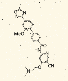 COc1cc(-c2noc(C)n2)ccc1-c1ccc(C(=O)Nc2cc(OCCN(C)C)c(C#N)cn2)cc1